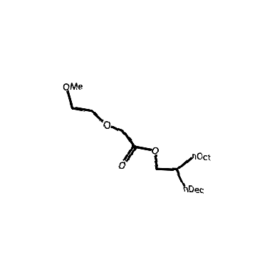 CCCCCCCCCCC(CCCCCCCC)COC(=O)COCCOC